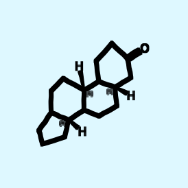 O=C1CCC2[C@@H](CCC3[C@@H]4CCCC4CC[C@H]23)C1